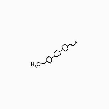 CCCc1ccc(C2CCC(C3CCC(/C=C/F)CC3)CC2)cc1